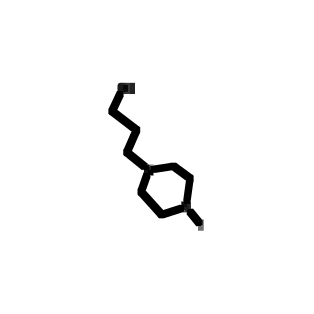 OCCCN1CCN(I)CC1